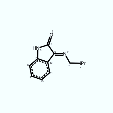 CC(C)C/N=C1/C(=O)Nc2ccccc21